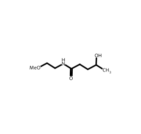 COCCNC(=O)CCC(C)O